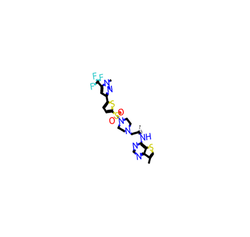 Cc1csc2c(N[C@@H](C)CN3CCN(S(=O)(=O)c4ccc(-c5cc(C(F)(F)F)n(C)n5)s4)CC3)ncnc12